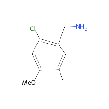 COc1cc(Cl)c(CN)cc1C